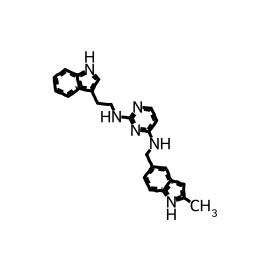 Cc1cc2cc(CNc3ccnc(NCCc4c[nH]c5ccccc45)n3)ccc2[nH]1